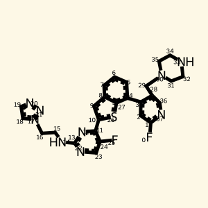 Fc1cc(-c2cccc3cc(-c4nc(NCCn5ccnn5)ncc4F)sc23)c(CN2CCNCC2)cn1